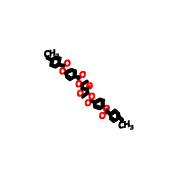 CCc1ccc(C(=O)Oc2ccc(C(=O)OC3COC4C(OC(=O)c5ccc(OC(=O)c6ccc(CC)cc6)cc5)COC34)cc2)cc1